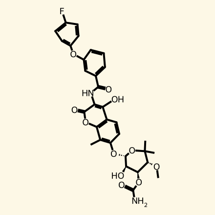 CO[C@@H]1[C@@H](OC(N)=O)[C@@H](O)[C@H](Oc2ccc3c(O)c(NC(=O)c4cccc(Oc5ccc(F)cc5)c4)c(=O)oc3c2C)OC1(C)C